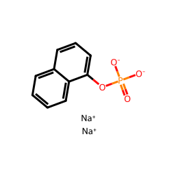 O=P([O-])([O-])Oc1cccc2ccccc12.[Na+].[Na+]